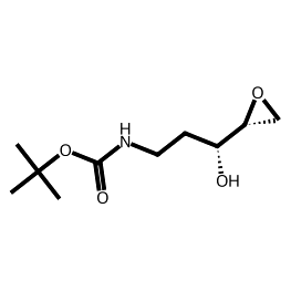 CC(C)(C)OC(=O)NCC[C@@H](O)[C@H]1CO1